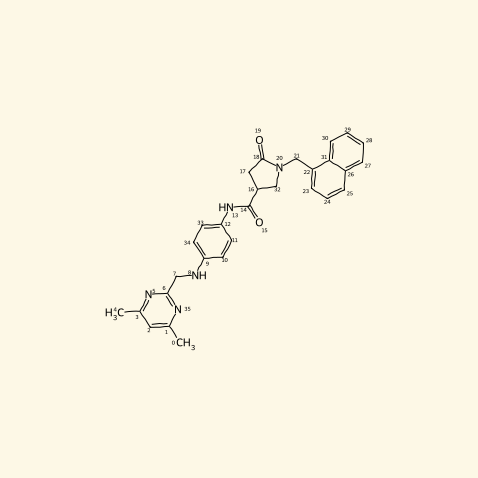 Cc1cc(C)nc(CNc2ccc(NC(=O)C3CC(=O)N(Cc4cccc5ccccc45)C3)cc2)n1